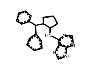 c1ccc(C(c2ccccc2)C2CCCC2Nc2ncnc3[nH]cnc23)cc1